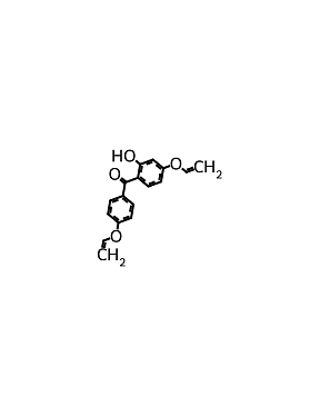 C=COc1ccc(C(=O)c2ccc(OC=C)cc2O)cc1